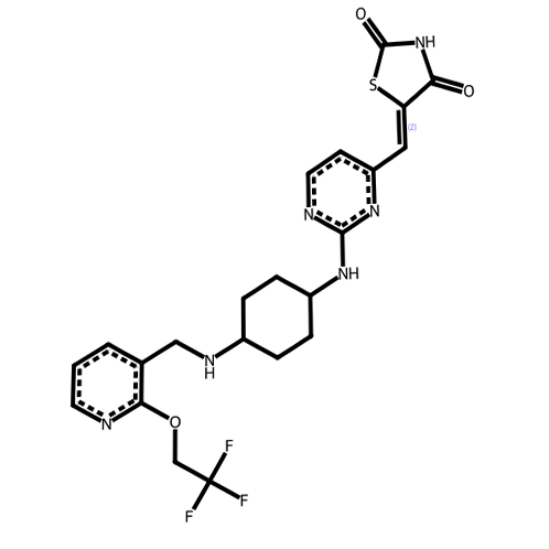 O=C1NC(=O)/C(=C/c2ccnc(NC3CCC(NCc4cccnc4OCC(F)(F)F)CC3)n2)S1